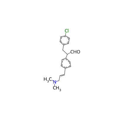 CN(C)C/C=C/c1ccc(C(C=O)Cc2ccc(Cl)cc2)cc1